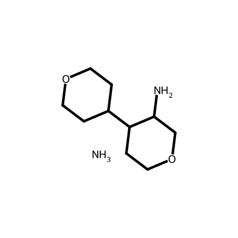 N.NC1COCCC1C1CCOCC1